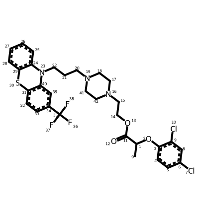 CC(Oc1ccc(Cl)cc1Cl)C(=O)OCCN1CCN(CCCN2c3ccccc3Sc3ccc(C(F)(F)F)cc32)CC1